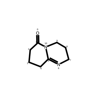 O=C1CCCC2=NCCCN12